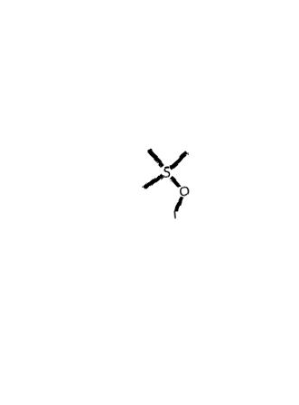 CS(C)(C)OI